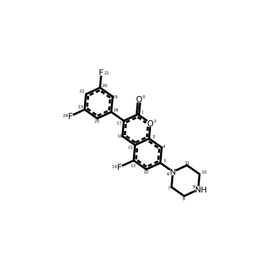 O=c1oc2cc(N3CCNCC3)cc(F)c2cc1-c1cc(F)cc(F)c1